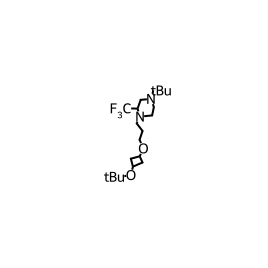 CC(C)(C)OC1CC(OCCCN2CCN(C(C)(C)C)CC2C(F)(F)F)C1